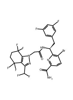 NC(=O)c1ccc(Br)c([C@H](Cc2cc(F)cc(F)c2)NC(=O)Cn2nc(C(F)F)c3c2C(F)(F)CCC3(F)F)n1